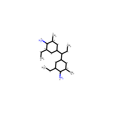 CCC1CC(C(CC)C2CC(C)C(N)C(CC)C2)CC(C)C1N